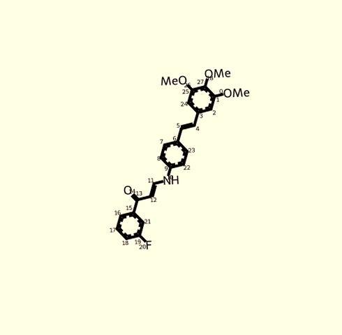 COc1cc(C=Cc2ccc(NC=CC(=O)c3cccc(F)c3)cc2)cc(OC)c1OC